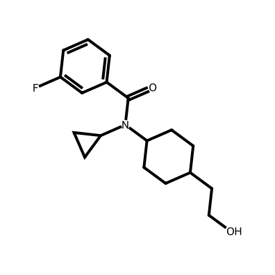 O=C(c1cccc(F)c1)N(C1CCC(CCO)CC1)C1CC1